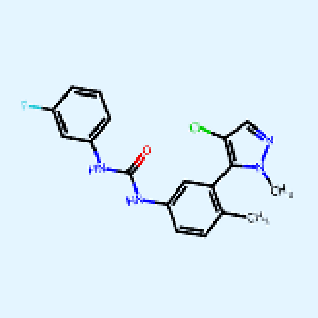 Cc1ccc(NC(=O)Nc2cccc(F)c2)cc1-c1c(Cl)cnn1C